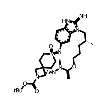 C=C(OCCC[C@@H](C)Cn1c(=N)[nH]c2ccc(N=S3(=O)CCC4(CC3)CN(C(=O)OC(C)(C)C)C4)cc21)N(C)NC